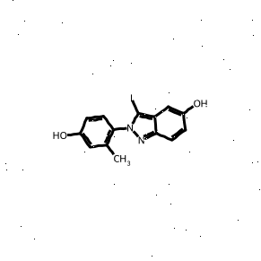 Cc1cc(O)ccc1-n1nc2ccc(O)cc2c1I